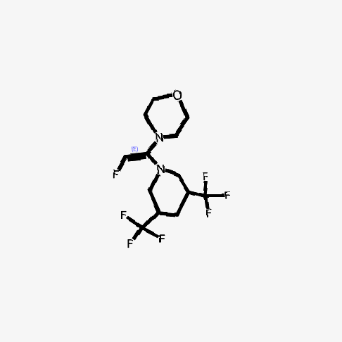 F/C=C(/N1CCOCC1)N1CC(C(F)(F)F)CC(C(F)(F)F)C1